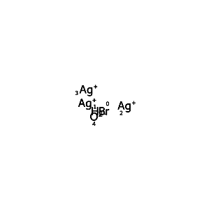 Br.[Ag+].[Ag+].[Ag+].[O-2]